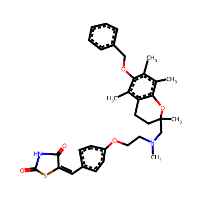 Cc1c(C)c2c(c(C)c1OCc1ccccc1)CCC(C)(CN(C)CCOc1ccc(C=C3SC(=O)NC3=O)cc1)O2